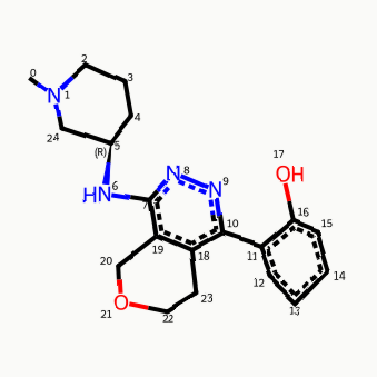 CN1CCC[C@@H](Nc2nnc(-c3ccccc3O)c3c2COCC3)C1